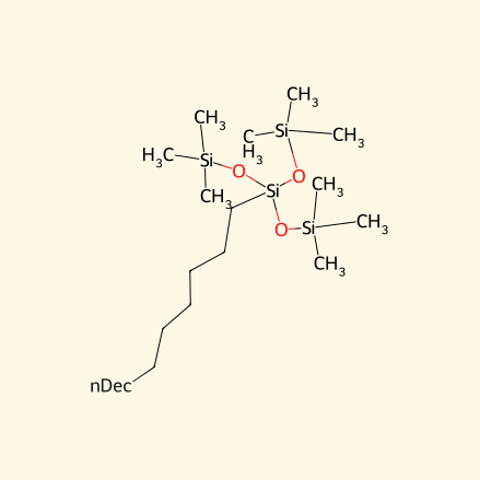 CCCCCCCCCCCCCCCC[Si](O[Si](C)(C)C)(O[Si](C)(C)C)O[Si](C)(C)C